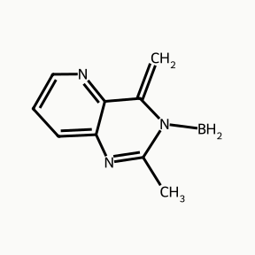 BN1C(=C)c2ncccc2N=C1C